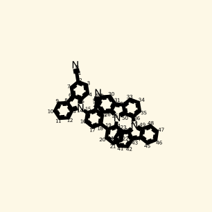 N#Cc1ccc2c(c1)c1ccccc1n2-c1ccc(-c2ccccc2-n2c3ccccc3c3cccc(-n4c5ccccc5c5ccccc54)c32)cc1C#N